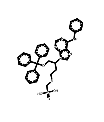 O=P(O)(O)COCCC(COC(c1ccccc1)(c1ccccc1)c1ccccc1)n1cnc2c(Nc3ccccc3)ncnc21